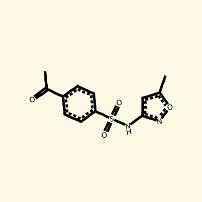 CC(=O)c1ccc(S(=O)(=O)Nc2cc(C)on2)cc1